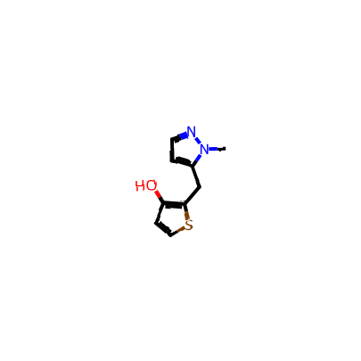 Cn1nccc1Cc1sccc1O